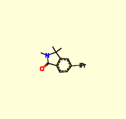 CC(C)c1ccc2c(c1)C(C)(C)N(C)C2=O